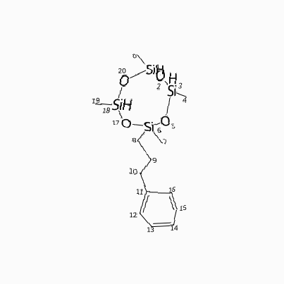 C[SiH]1O[SiH](C)O[Si](C)(CCCc2ccccc2)O[SiH](C)O1